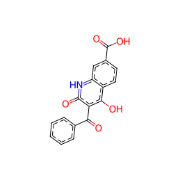 O=C(O)c1ccc2c(O)c(C(=O)c3ccccc3)c(=O)[nH]c2c1